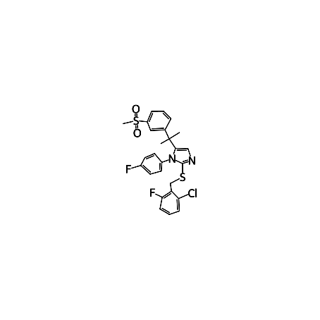 CC(C)(c1cccc(S(C)(=O)=O)c1)c1cnc(SCc2c(F)cccc2Cl)n1-c1ccc(F)cc1